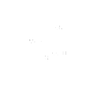 COc1cc(C#N)ccc1C1(C(=O)O)CCC2=CC=C=CN21